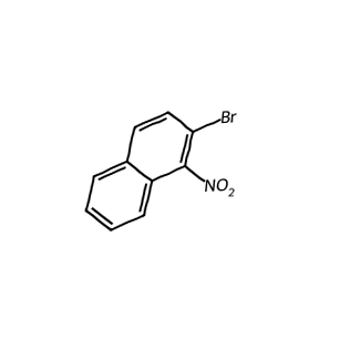 O=[N+]([O-])c1c(Br)ccc2ccccc12